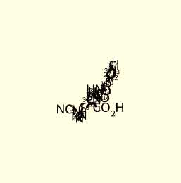 N#CCn1nnnc1SCC1=C(C(=O)O)N2C(=O)C(NC(=O)CSc3ccc(Cl)cc3)[C@@H]2SC1